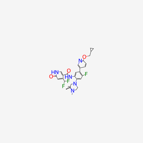 C[C@H]1CN(c2cc(F)c(-c3ccc(OCC4CC4)nc3)cc2NC(=O)c2c[nH]c(=O)cc2C(F)F)CCN1C